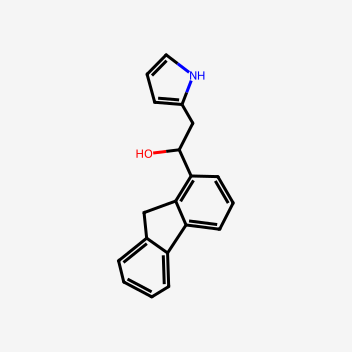 OC(Cc1ccc[nH]1)c1cccc2c1Cc1ccccc1-2